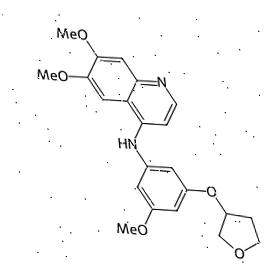 COc1cc(Nc2ccnc3cc(OC)c(OC)cc23)cc(OC2CCOC2)c1